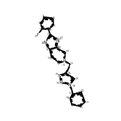 Fc1ccccc1-c1nc2ccn(Cc3cn(-c4ccccc4)nn3)cc-2n1